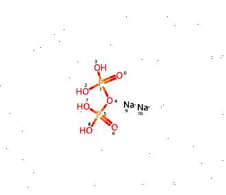 O=P(O)(O)OP(=O)(O)O.[Na].[Na]